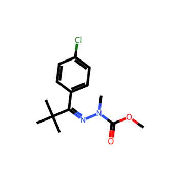 COC(=O)N(C)/N=C(\c1ccc(Cl)cc1)C(C)(C)C